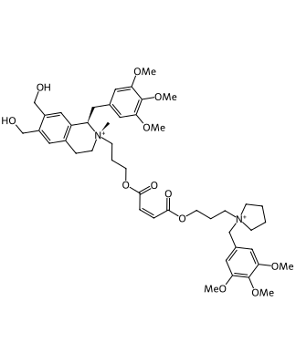 COc1cc(C[C@@H]2c3cc(CO)c(CO)cc3CC[N@@+]2(C)CCCOC(=O)/C=C\C(=O)OCCC[N+]2(Cc3cc(OC)c(OC)c(OC)c3)CCCC2)cc(OC)c1OC